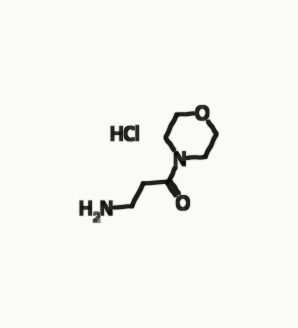 Cl.NCCC(=O)N1CCOCC1